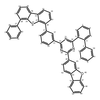 c1ccc(-c2ccccc2-c2nc(-c3cccc(-c4cccc5c4sc4c(-c6ccccc6)cccc45)c3)nc(-c3ccc4c(c3)oc3ccccc34)n2)cc1